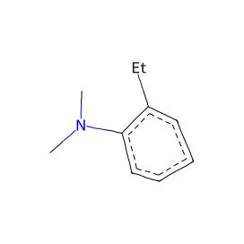 CCc1ccccc1N(C)C